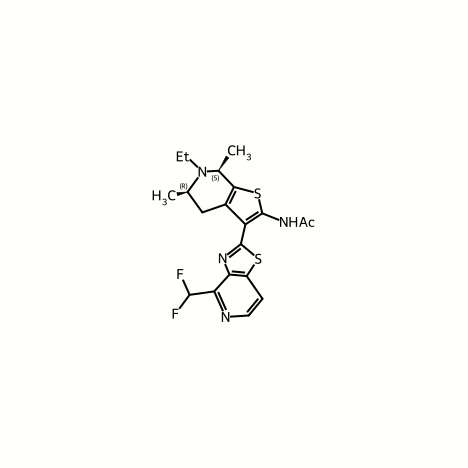 CCN1[C@H](C)Cc2c(sc(NC(C)=O)c2-c2nc3c(C(F)F)nccc3s2)[C@@H]1C